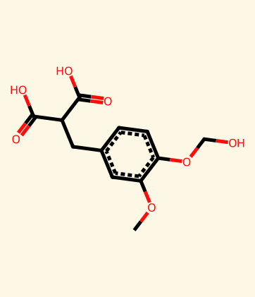 COc1cc(CC(C(=O)O)C(=O)O)ccc1OCO